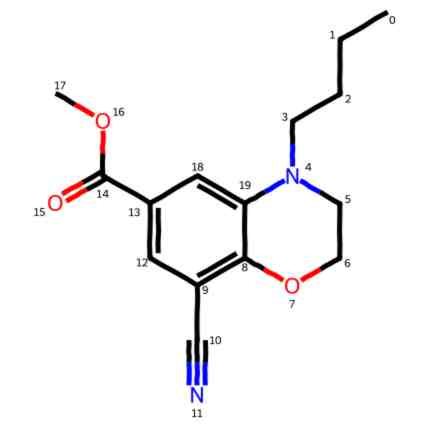 CCCCN1CCOc2c(C#N)cc(C(=O)OC)cc21